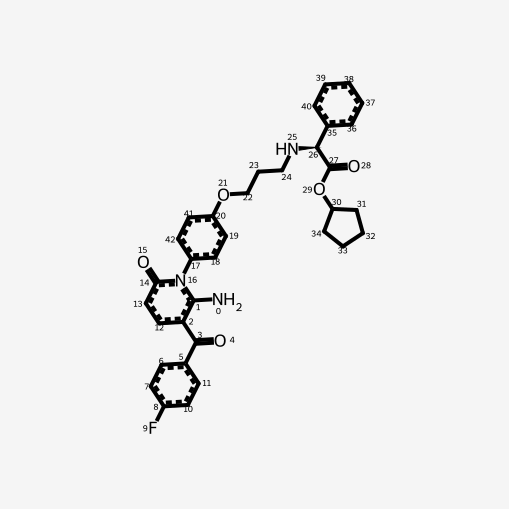 Nc1c(C(=O)c2ccc(F)cc2)ccc(=O)n1-c1ccc(OCCCN[C@H](C(=O)OC2CCCC2)c2ccccc2)cc1